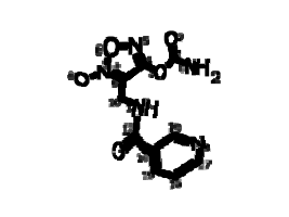 NC(=O)Oc1no[n+]([O-])c1CNC(=O)c1cccnc1